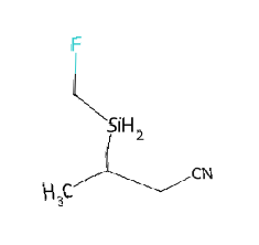 CC(CC#N)[SiH2]CF